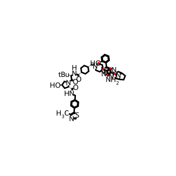 Cc1ncsc1-c1ccc(CNC(=O)[C@@H]2C[C@@H](O)CN2C(=O)[C@@H](NC(=O)[C@H]2CC[C@@H](CN3CCC(c4cnc(N5C6CCC5CN(c5cc(-c7ccccc7O)nnc5N)C6)nc4)CC3)CC2)C(C)(C)C)cc1